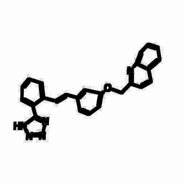 C(=C\c1ccccc1-c1nnn[nH]1)/c1cccc(OCc2ccc3ccccc3n2)c1